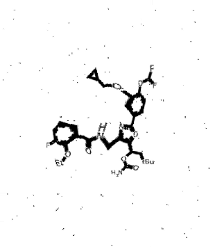 CCOc1c(F)cccc1C(=O)NCc1nc(-c2ccc(OC(F)F)c(OCC3CC3)c2)oc1C(CC(C)(C)C)OC(N)=O